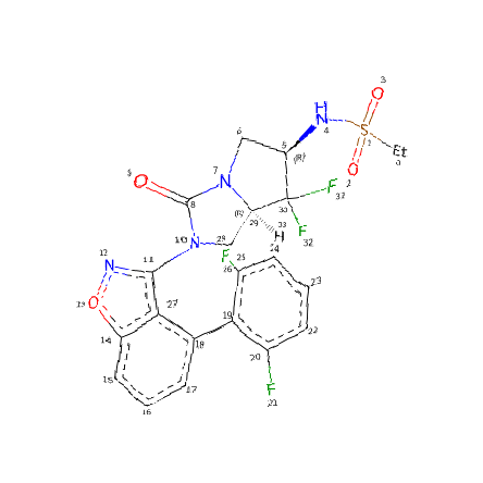 CCS(=O)(=O)N[C@@H]1CN2C(=O)N(c3noc4cccc(-c5c(F)cccc5F)c34)C[C@@H]2C1(F)F